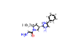 NCC(=O)N1C[C@H](c2nc(-c3ccccc3)c[nH]2)CC1C(=O)O